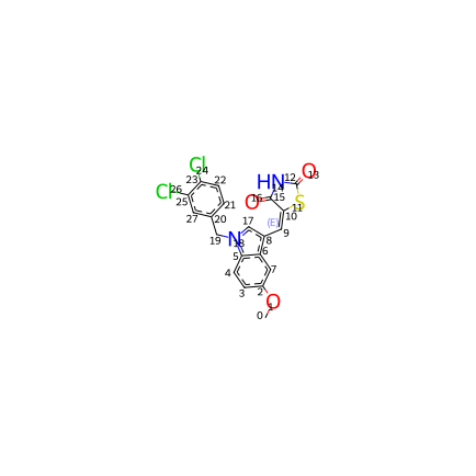 COc1ccc2c(c1)c(/C=C1/SC(=O)NC1=O)cn2Cc1ccc(Cl)c(Cl)c1